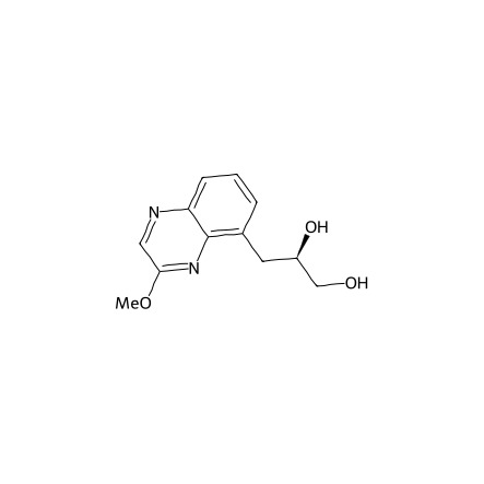 COc1cnc2cccc(C[C@@H](O)CO)c2n1